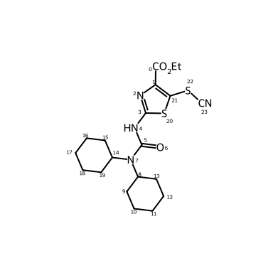 CCOC(=O)c1nc(NC(=O)N(C2CCCCC2)C2CCCCC2)sc1SC#N